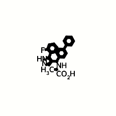 CC(NC(c1ccc(-c2ccccc2)cc1)c1cn[nH]c1-c1ccccc1F)C(=O)O